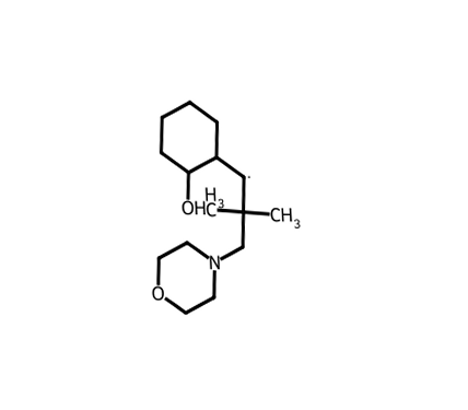 CC(C)([CH]C1CCCCC1O)CN1CCOCC1